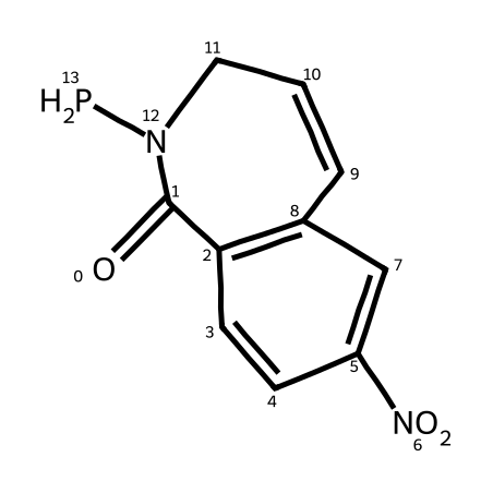 O=C1c2ccc([N+](=O)[O-])cc2C=CCN1P